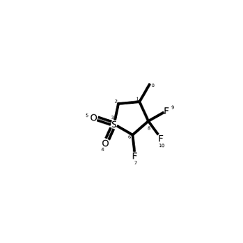 CC1CS(=O)(=O)C(F)C1(F)F